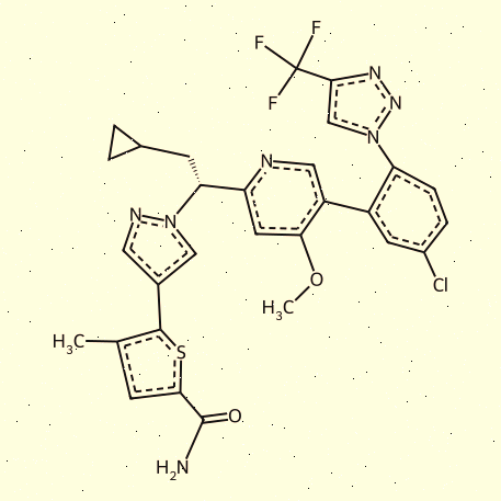 COc1cc([C@@H](CC2CC2)n2cc(-c3sc(C(N)=O)cc3C)cn2)ncc1-c1cc(Cl)ccc1-n1cc(C(F)(F)F)nn1